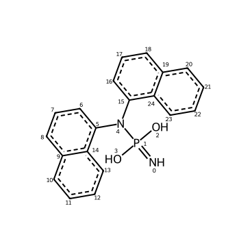 N=P(O)(O)N(c1cccc2ccccc12)c1cccc2ccccc12